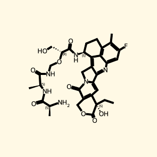 CC[C@@]1(O)C(=O)OCc2c1cc1n(c2=O)Cc2c-1nc1cc(F)c(C)c3c1c2[C@@H](NC(=O)[C@@H](CO)OCNC(=O)[C@H](C)NC(=O)[C@H](C)N)CC3